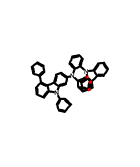 c1ccc(-c2cccc3c2c2ccc(N(c4ccccc4)c4ccccc4-n4c5ccccc5c5ccccc54)cc2n3-c2ccccc2)cc1